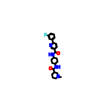 CN1CCCC(C(=O)NC2CCC(NC(=O)c3ccc(-c4cccc(F)c4)nc3)CC2)C1